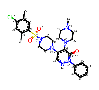 Cc1cc(S(=O)(=O)N2CCN(c3cnn(-c4ccccc4)c(=O)c3N3CCN(C)CC3)CC2)c(C)cc1Cl